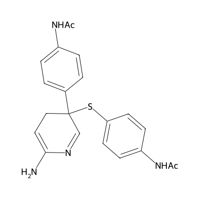 CC(=O)Nc1ccc(SC2(c3ccc(NC(C)=O)cc3)C=NC(N)=CC2)cc1